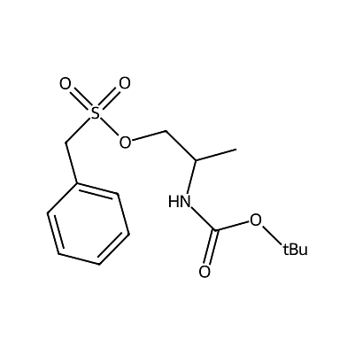 CC(COS(=O)(=O)Cc1ccccc1)NC(=O)OC(C)(C)C